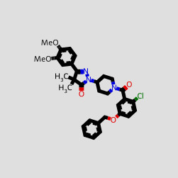 COc1ccc(C2=NN(C3CCN(C(=O)c4cc(OCc5ccccc5)ccc4Cl)CC3)C(=O)C2(C)C)cc1OC